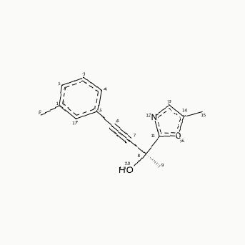 Cc1cccc(C#C[C@](C)(O)c2ncc(C)o2)c1